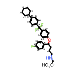 O=C(O)CNCCCC(Oc1ccc(C(F)(F)c2ccc(C3CCCCC3)cc2)cc1)c1ccc(F)cc1